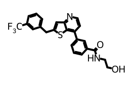 O=C(NCCO)c1cccc(-c2ccnc3cc(Cc4cccc(C(F)(F)F)c4)sc23)c1